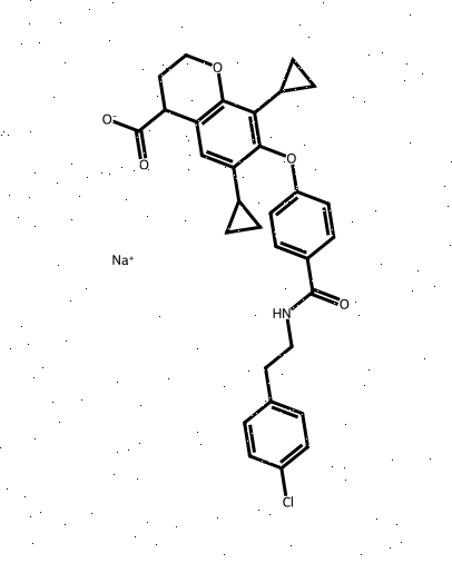 O=C(NCCc1ccc(Cl)cc1)c1ccc(Oc2c(C3CC3)cc3c(c2C2CC2)OCCC3C(=O)[O-])cc1.[Na+]